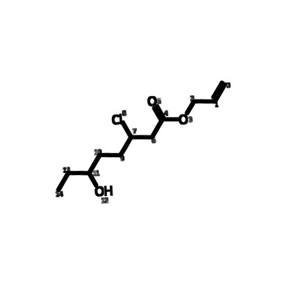 C=CCOC(=O)CC(Cl)CCC(O)CC